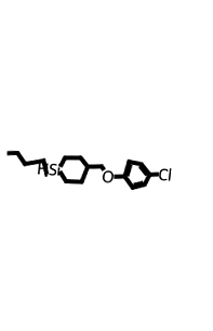 CCCCC[SiH]1CCC(COc2ccc(Cl)cc2)CC1